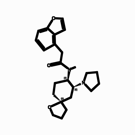 CN(C(=O)Cc1cccc2occc12)[C@@H]1CC[C@@]2(CCCO2)C[C@H]1N1CCCC1